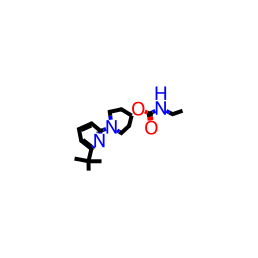 CCNC(=O)OC1CCN(c2cccc(C(C)(C)C)n2)CC1